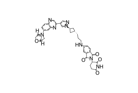 O=C1CCC(N2C(=O)c3ccc(NCCC[C@H]4C[C@H](n5cc(-c6cnc7ccc(N8C[C@H]9C[C@@H]8CO9)cc7n6)cn5)C4)cc3C2=O)C(=O)N1